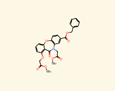 CC(C)(C)OC(=O)COc1cccc2c1C(=O)N(CC(=O)OC(C)(C)C)c1cc(C(=O)OCc3ccccc3)ccc1O2